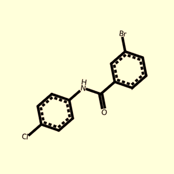 O=C(Nc1ccc(Cl)cc1)c1[c]ccc(Br)c1